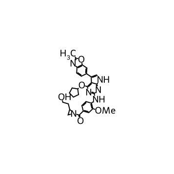 COc1cc(C(=O)N2CC2CCO)ccc1Nc1nc(OC2CCCC2)c2c(-c3ccc4nc(C)oc4c3)c[nH]c2n1